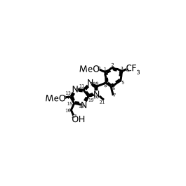 COc1cc(C(F)(F)F)cc(C)c1-c1nc2nc(OC)c(CO)nc2n1C